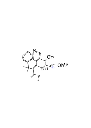 C=CC(=C)C1=C2NC(/C=C/OC)C(O)c3cnc4cccc(c4c32)C1(C)C